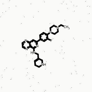 CCN1CCN(c2ccc(-c3cc4nccnc4c(NCC4=CCCNC4)n3)cc2F)CC1